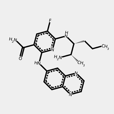 CCC[C@@H](Nc1nc(Nc2ccc3nccnc3c2)c(C(N)=O)cc1F)[C@H](C)N